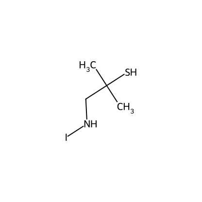 CC(C)(S)CNI